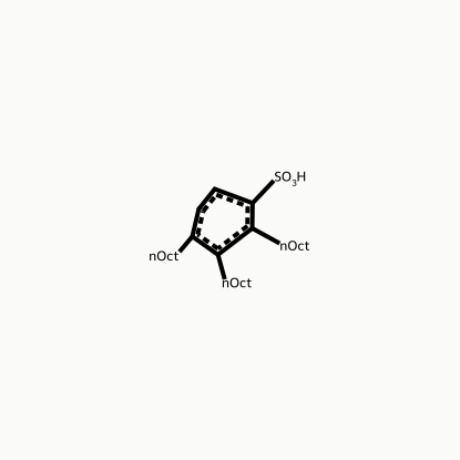 CCCCCCCCc1ccc(S(=O)(=O)O)c(CCCCCCCC)c1CCCCCCCC